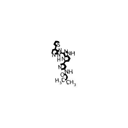 CC(C)CC(=O)Nc1cncc(-c2ccc3[nH]nc(-c4nc5c(-c6cccs6)ccnc5[nH]4)c3n2)c1